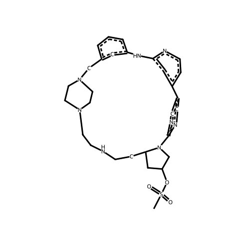 CS(=O)(=O)OC1CC2CCNCCN3CCN(CC3)Cc3cccc(c3)Nc3cc(ccn3)-c3cnc(nc3)N2C1